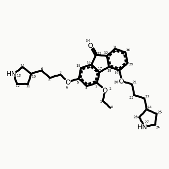 CCOc1cc(OCCCC2CCNC2)cc2c1-c1c(OCCCC3CCNC3)cccc1C2=O